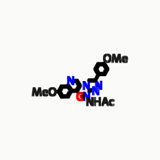 COc1ccc(-c2cnc(N(NC(C)=O)Oc3ccnc4cc(OC)ccc34)nn2)cc1